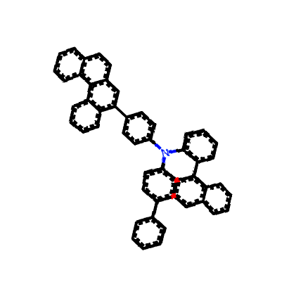 c1ccc(-c2ccc(N(c3ccc(-c4cc5ccc6ccccc6c5c5ccccc45)cc3)c3ccccc3-c3cccc4ccccc34)cc2)cc1